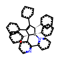 c1ccc(C2=C(c3ccccc3)[C@]3(c4ccccc4)c4cccnc4-c4cccc[n+]4[B@-]3(c3ccccc3)[C@H]2c2ccccc2)cc1